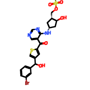 NS(=O)(=O)OC[C@H]1C[C@@H](Nc2ncncc2C(=O)c2cc(C(O)c3cccc(Br)c3)cs2)C[C@@H]1O